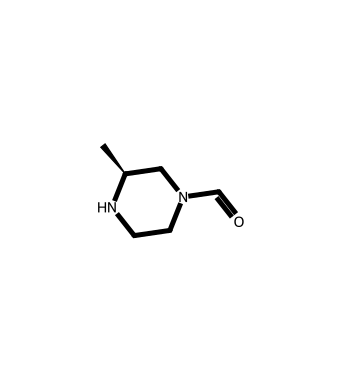 C[C@H]1CN(C=O)CCN1